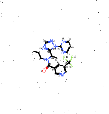 CCCN(C(=O)c1cncc(C(F)(F)F)c1)C(C)c1ncnn1-c1ncccn1